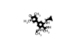 CSNc1cc(-c2cc(C)c(=O)n(C)c2)cc(NCC2CC2)c1C(C)=N